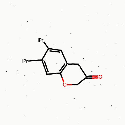 CC(C)c1cc2c(cc1C(C)C)OCC(=O)C2